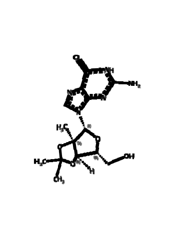 CC1(C)O[C@@H]2[C@@H](CO)O[C@@H](n3cnc4c(=O)[nH]c(N)nc43)[C@]2(C)O1